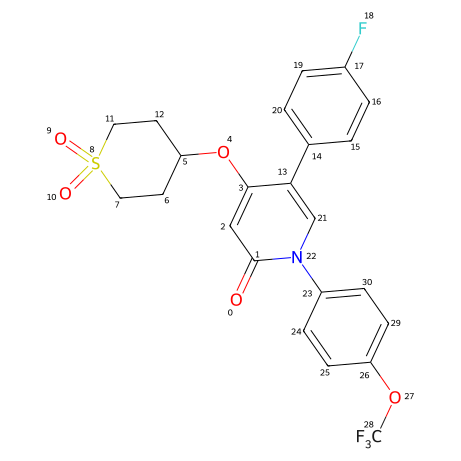 O=c1cc(OC2CCS(=O)(=O)CC2)c(-c2ccc(F)cc2)cn1-c1ccc(OC(F)(F)F)cc1